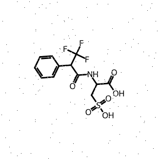 O=C(O)C(CS(=O)(=O)O)NC(=O)C(c1ccccc1)C(F)(F)F